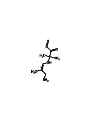 C/C(=C/NC(C)(C)C(=O)N=O)CN